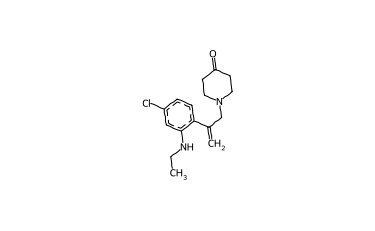 C=C(CN1CCC(=O)CC1)c1ccc(Cl)cc1NCC